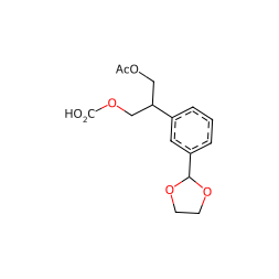 CC(=O)OCC(COC(=O)O)c1cccc(C2OCCO2)c1